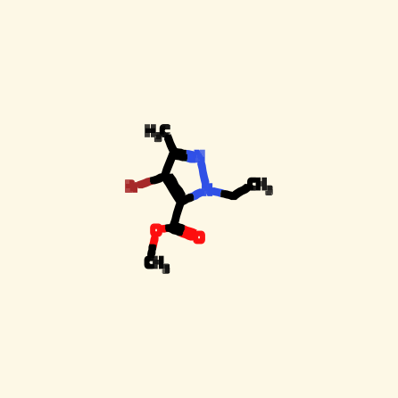 CCn1nc(C)c(Br)c1C(=O)OC